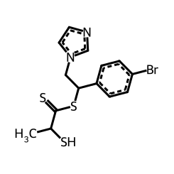 CC(S)C(=S)SC(Cn1ccnc1)c1ccc(Br)cc1